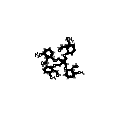 Cc1cccc(OCC(COc2cccc(C)c2C=O)(COc2cccc(C)c2C=O)COc2cccc(C)c2C=O)c1C=O